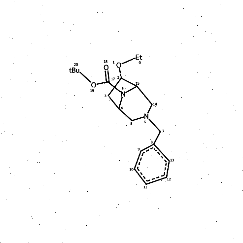 CCOC1CC2CN(Cc3ccccc3)CC1N2C(=O)OC(C)(C)C